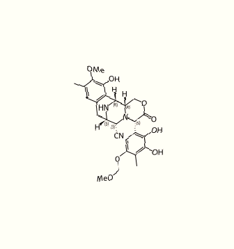 COCOc1cc([C@H]2C(=O)OC[C@H]3[C@@H]4N[C@@H](Cc5cc(C)c(OC)c(O)c54)[C@@H](C#N)N23)c(O)c(O)c1C